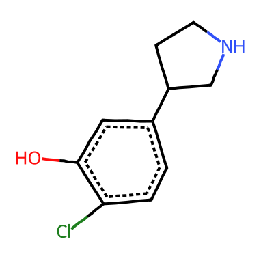 Oc1cc(C2CCNC2)ccc1Cl